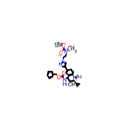 CC(=O)N1c2ccc(-c3cnn(CCN(C)C(=O)OC(C)(C)C)c3)cc2[C@H](NC(=O)OCc2ccccc2)[C@@H](C)[C@@H]1C1CC1